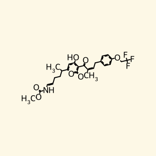 COC(=O)N/C=C/CCC(C)c1cc(O)c(C(=O)/C(C)=C\Cc2ccc(OCC(F)(F)F)cc2)c(=O)o1